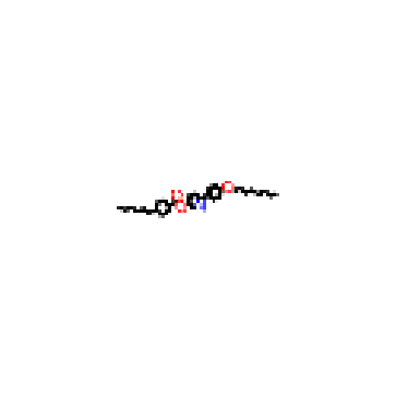 CCCCCCCCOc1ccc(-c2ccc(OC(=O)C3CCC(CCCCCC)CC3)cn2)cc1